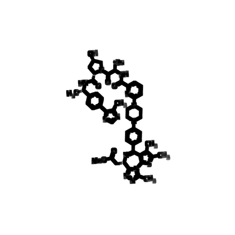 COC(=O)C[C@@H]1N=C(c2ccc(N3CCN(c4cccc(C(=O)NC(C(=O)N5C[C@H](O)C[C@H]5C(=O)N[C@@H](C)c5ccc(-c6scnc6C)cc5)C(C)(C)C)n4)CC3)cc2)c2c(sc(C)c2C)-n2c(C)nnc21